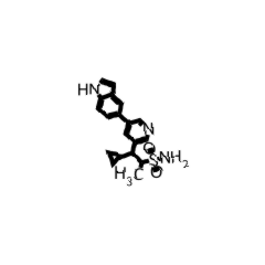 CC(C(c1cncc(-c2ccc3[nH]ccc3c2)c1)C1CC1)S(N)(=O)=O